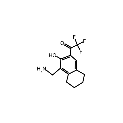 NCc1c(O)c(C(=O)C(F)(F)F)cc2c1CCCC2